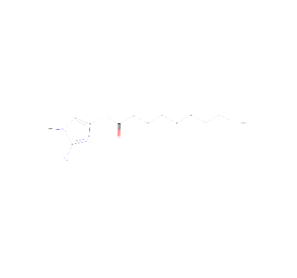 CCCCCCCCCCCCCCCCCC(=O)Oc1cn(C)c(N)n1